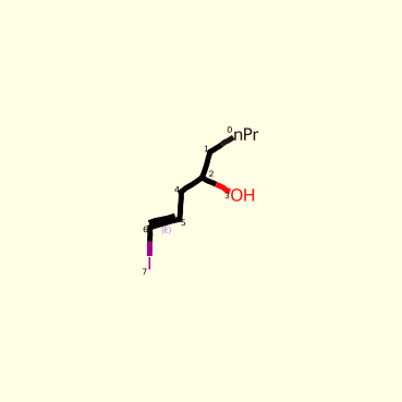 CCCCC(O)C/C=C/I